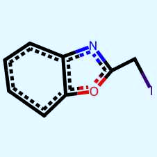 ICc1nc2ccccc2o1